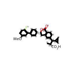 COc1ccc(F)c(-c2ccc([C@H]3Cc4cc(C(C5CC5)[C@H](C)C(=O)O)ccc4C(=O)O3)cc2)c1